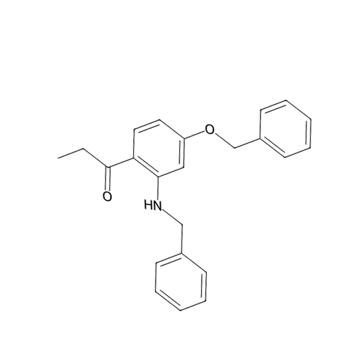 CCC(=O)c1ccc(OCc2ccccc2)cc1NCc1ccccc1